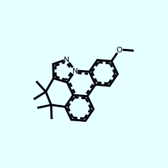 COc1ccc2c3cccc4c3c3c(cnn3c2c1)C(C)(C)C4(C)C